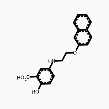 O=C(O)c1cc(NCCOc2ccc3ccccc3c2)ccc1O